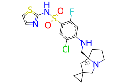 O=S(=O)(Nc1nccs1)c1cc(Cl)c(NC[C@@]23CCCN2CC2(CC2)C3)cc1F